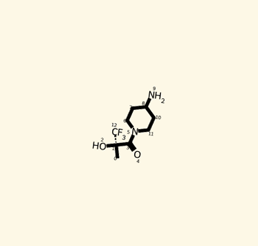 C[C@@](O)(C(=O)N1CCC(N)CC1)C(F)(F)F